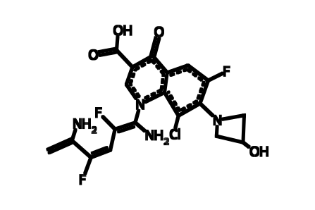 C=C(N)/C(F)=C\C(F)=C(/N)n1cc(C(=O)O)c(=O)c2cc(F)c(N3CC(O)C3)c(Cl)c21